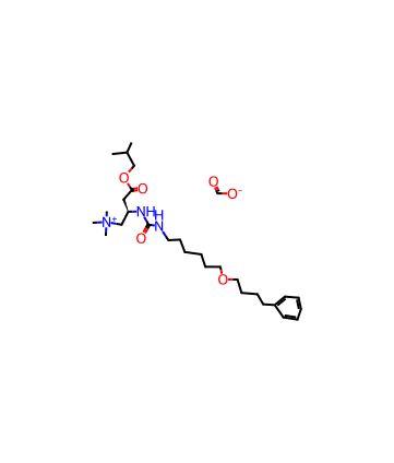 CC(C)COC(=O)C[C@H](C[N+](C)(C)C)NC(=O)NCCCCCCOCCCCc1ccccc1.O=C[O-]